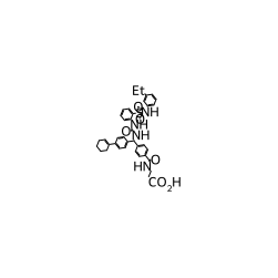 CCc1cccc(NS(=O)(=O)c2ccccc2NC(=O)NC(c2ccc(C(=O)NCCC(=O)O)cc2)c2ccc(C3=CCCCC3)cc2)c1